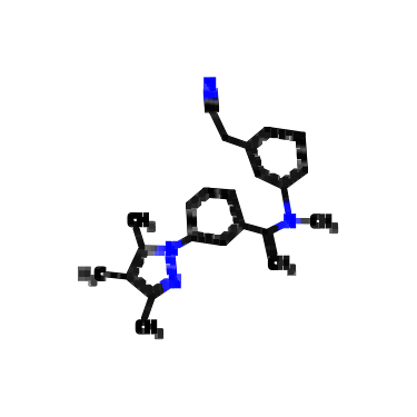 C=C(c1cccc(-n2nc(C)c(C)c2C)c1)N(C)c1cccc(CC#N)c1